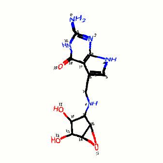 Nc1nc2[nH]cc(CNC3C(O)C(O)C4OC34)c2c(=O)[nH]1